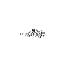 Cc1cc(Cl)c(C(=O)CN(CC(C)(C)C)C(=O)c2cnn([C@H]3CC[C@](C)(C(=O)O)CC3)c2C(F)(F)F)c(Cl)n1